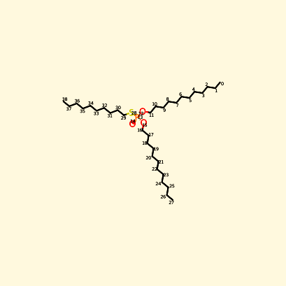 CCCCCCCCCCCCOP(=O)(OCCCCCCCCCCCC)SCCCCCCCCCC